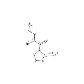 CC(=O)SCC(Br)C(=O)N1CCC[C@H]1C(=O)O